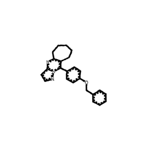 c1ccc(COc2ccc(-c3c4c(nc5ccnn35)CCCCC4)cc2)cc1